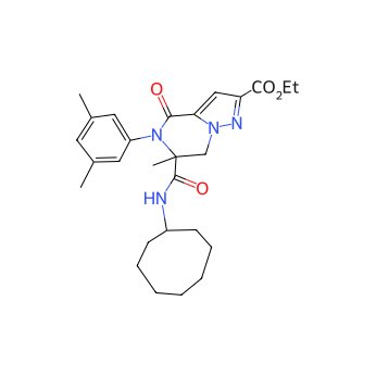 CCOC(=O)c1cc2n(n1)CC(C)(C(=O)NC1CCCCCCC1)N(c1cc(C)cc(C)c1)C2=O